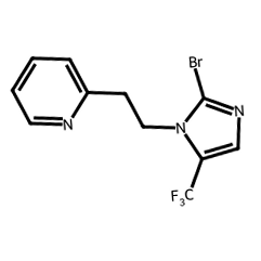 FC(F)(F)c1cnc(Br)n1CCc1ccccn1